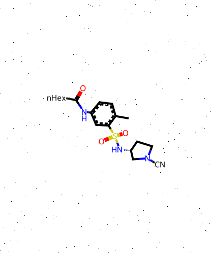 CCCCCCC(=O)Nc1ccc(C)c(S(=O)(=O)N[C@@H]2CCN(C#N)C2)c1